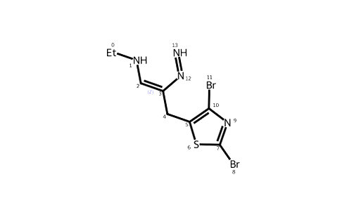 CCN/C=C(/Cc1sc(Br)nc1Br)N=N